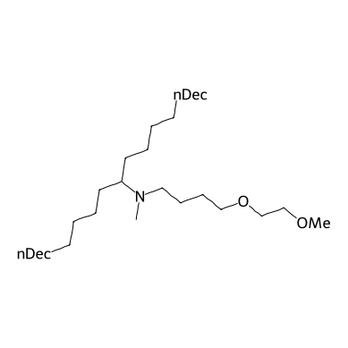 CCCCCCCCCCCCCCC(CCCCCCCCCCCCCC)N(C)CCCCOCCOC